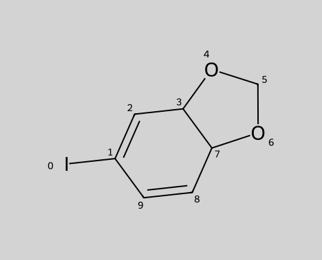 IC1=CC2OCOC2C=C1